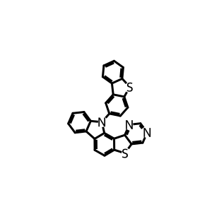 c1ccc2c(c1)sc1ccc(-n3c4ccccc4c4ccc5sc6cncnc6c5c43)cc12